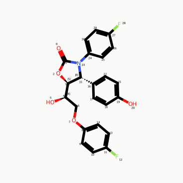 O=C1O[C@H]([C@H](O)COc2ccc(F)cc2)[C@@H](c2ccc(O)cc2)N1c1ccc(F)cc1